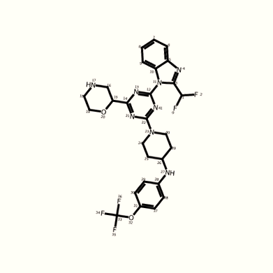 FC(F)c1nc2ccccc2n1-c1nc(C2CNCCO2)nc(N2CCC(Nc3ccc(OC(F)(F)F)cc3)CC2)n1